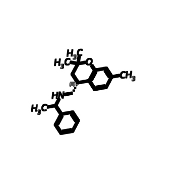 Cc1ccc2c(c1)OC(C)(C)C[C@H]2CNC(C)c1ccccc1